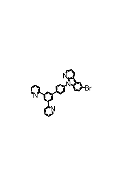 Brc1ccc2c(c1)c1cccnc1n2-c1ccc(-c2cc(-c3ccccn3)cc(-c3ccccn3)c2)cc1